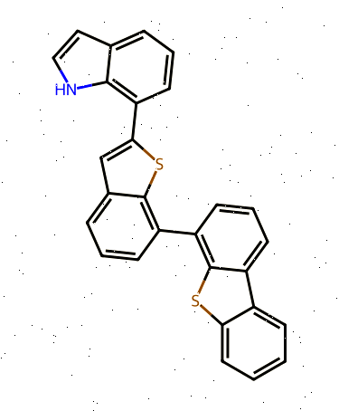 c1cc(-c2cc3cccc(-c4cccc5c4sc4ccccc45)c3s2)c2[nH]ccc2c1